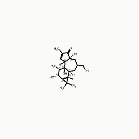 CC1=C[C@H]2[C@@]3(O)[C@H](C)[C@@H](O)[C@]4(O)[C@H]([C@@H]3CC(CO)C[C@]2(O)C1=O)C4(C)C